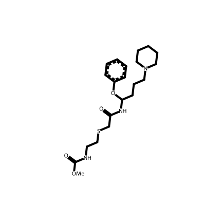 COC(=O)NCCSCC(=O)NC(CCCN1CCCCC1)Oc1ccccc1